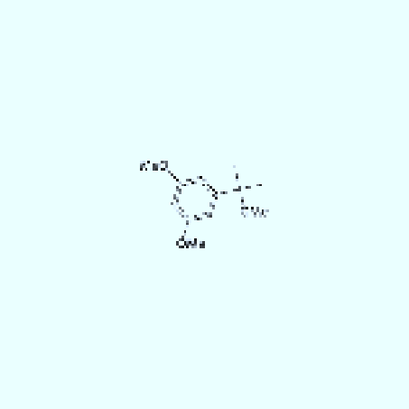 COc1cc(OC)cc(C(C)(C)OC)c1